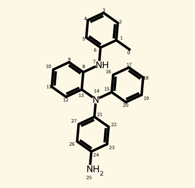 Cc1ccccc1Nc1ccccc1N(c1ccccc1)c1ccc(N)cc1